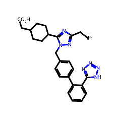 CC(C)Cc1nc(C2CCC(CC(=O)O)CC2)n(Cc2ccc(-c3ccccc3-c3nnn[nH]3)cc2)n1